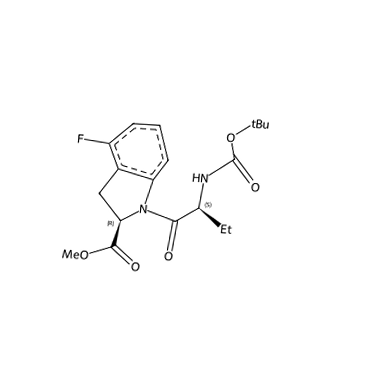 CC[C@H](NC(=O)OC(C)(C)C)C(=O)N1c2cccc(F)c2C[C@@H]1C(=O)OC